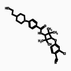 CC1(C)C(NC(=O)c2ccc(N3CCC(CCO)CC3)cc2)C(C)(C)C1Oc1ccc(C#N)c(Cl)c1